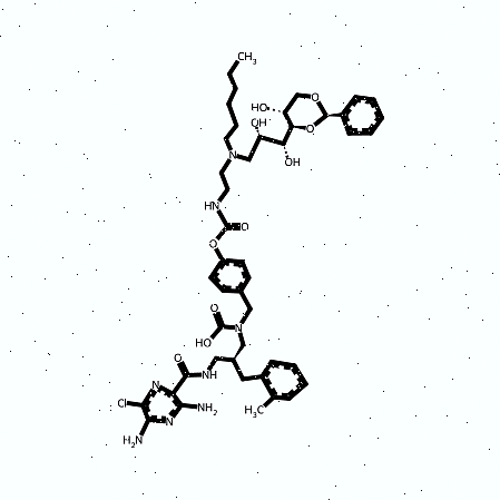 CCCCCCN(CCNC(=O)Oc1ccc(CN(C[C@H](CNC(=O)c2nc(Cl)c(N)nc2N)Cc2ccccc2C)C(=O)O)cc1)C[C@H](O)[C@@H](O)[C@@H]1O[C@H](c2ccccc2)OC[C@H]1O